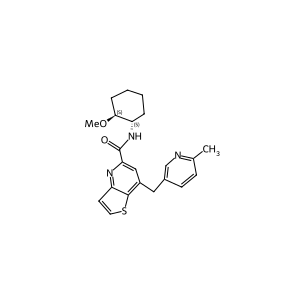 CO[C@H]1CCCC[C@@H]1NC(=O)c1cc(Cc2ccc(C)nc2)c2sccc2n1